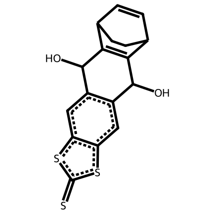 OC1C2=C(C3C=CC2CC3)C(O)c2cc3sc(=S)sc3cc21